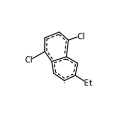 CCc1[c]cc2c(Cl)ccc(Cl)c2c1